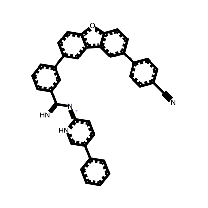 N#Cc1ccc(-c2ccc3oc4ccc(-c5cccc(C(=N)/N=c6/ccc(-c7ccccc7)c[nH]6)c5)cc4c3c2)cc1